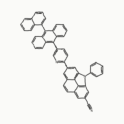 N#Cc1cc2ccc3cc(-c4ccc(-c5c6ccccc6c(-c6cccc7ccccc67)c6ccccc56)cn4)cc4c3c2c(c1)n4-c1ccccc1